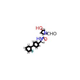 C[C@H](NC(=O)[C@@H]1C[C@@H](O)CN1C=O)c1ccc(-c2ccccc2F)cc1